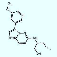 CCC(CO)Nc1ccc2ncc(-c3cncc(OC)c3)n2n1